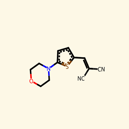 N#CC(C#N)=Cc1ccc(N2CCOCC2)s1